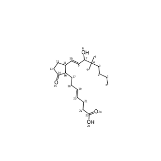 CCCCC(C)(C)C(O)C=CC1CCC(=O)C1CCC=CCCC(=O)O